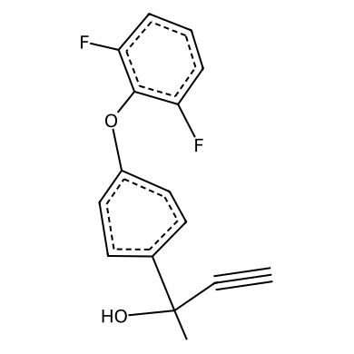 C#CC(C)(O)c1ccc(Oc2c(F)cccc2F)cc1